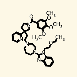 CCOCCn1c(N2CCCN(CCC3(c4ccccn4)CCN(C(=O)c4cc(OC)c(OC)c(OC)c4)C3)CC2)nc2ccccc21